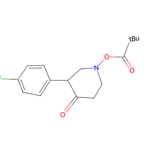 CC(C)(C)C(=O)ON1CCC(=O)C(c2ccc(F)cc2)C1